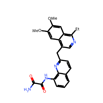 CCc1ncc(Cc2ccc3cccc(NC(=O)C(N)=O)c3n2)c2cc(OC)c(OC)cc12